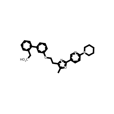 Cc1oc(-c2ccc(N3CCCCC3)nc2)nc1CCOc1cccc(-c2ccccc2CC(=O)O)c1